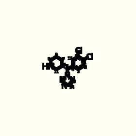 Clc1ccc(C([C@H]2CCCNC2)n2ncnn2)cc1Cl